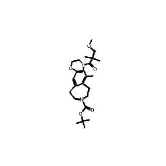 COCC(C)(C)C(=O)N1CCOc2cc3c(c(C)c21)CCN(C(=O)OC(C)(C)C)CC3